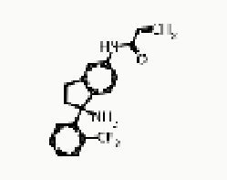 C=CC(=O)Nc1ccc2c(c1)CCC2(N)c1ccccc1C(F)(F)F